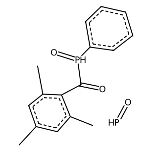 Cc1cc(C)c(C(=O)[PH](=O)c2ccccc2)c(C)c1.O=P